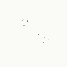 CC(c1cc(Cl)ccc1Cl)N1CC(NC(=O)c2cc(C3CC3)ccn2)C1